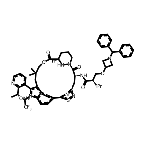 CO[C@@H](C)c1ncccc1-c1c2c3cc(ccc3n1CC(F)(F)F)-c1nc(ns1)C[C@H](NC(=O)[C@@H](COC1CN(C(c3ccccc3)c3ccccc3)C1)C(C)C)C(=O)N1CCC[C@H](N1)C(=O)OCC(C)(C)C2